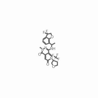 CC(Nc1nn(C)c(=O)c2cc(=O)n([C@@]3(C(F)(F)F)CCOC3)cc12)c1cccc2c1OCC2(F)F